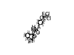 O=C(NCc1ccc(OC(F)(F)C(Cl)Cl)cc1)NC(=O)c1ccccc1C(F)(F)F